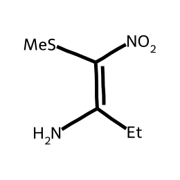 CCC(N)=C(SC)[N+](=O)[O-]